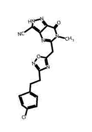 Cn1c(Cc2nc(CCc3ccc(Cl)cc3)no2)nc2c(C#N)[nH]nc2c1=O